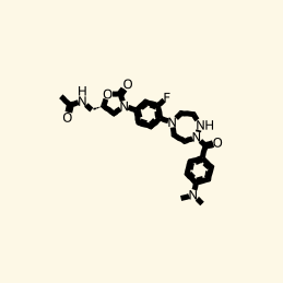 CC(=O)NC[C@H]1CN(c2ccc(N3CCNN(C(=O)c4ccc(N(C)C)cc4)CC3)c(F)c2)C(=O)O1